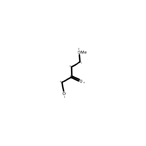 COCCC(=O)C[O]